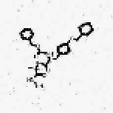 C[C@@H](NC(=O)[C@H](Cc1ccc(OCc2ccccc2)cc1)NC(=O)OCc1ccccc1)C(=O)NN